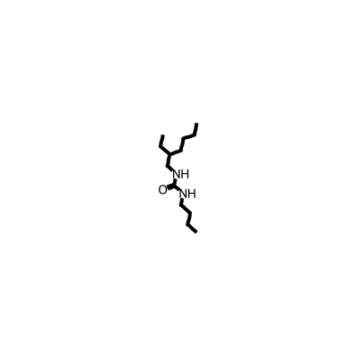 CCCCNC(=O)NCC(CC)CCCC